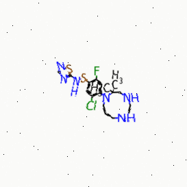 CC1(C)CNCCNCCCN1c1cc(F)c(SNc2ncns2)cc1Cl